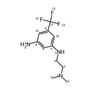 CN(C)CCNc1cc(N)cc(C(F)(F)F)c1